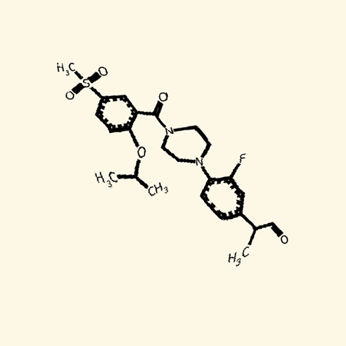 CC(C)Oc1ccc(S(C)(=O)=O)cc1C(=O)N1CCN(c2ccc(C(C)C=O)cc2F)CC1